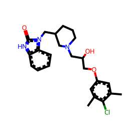 Cc1cc(OCC(O)CN2CCCC(Cn3c(=O)[nH]c4ccccc43)C2)cc(C)c1Cl